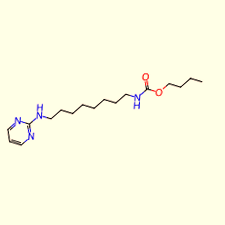 CCCCOC(=O)NCCCCCCCCNc1ncccn1